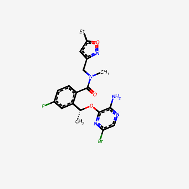 CCc1cc(CN(C)C(=O)c2ccc(F)cc2[C@@H](C)Oc2nc(Br)cnc2N)no1